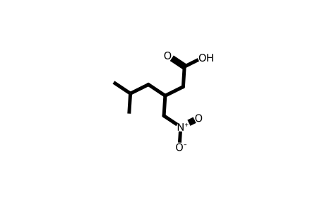 CC(C)CC(CC(=O)O)C[N+](=O)[O-]